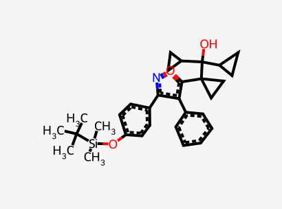 CC(C)(C)[Si](C)(C)Oc1ccc(-c2noc(C3(C(O)(C4CC4)C4CC4)CC3)c2-c2ccccc2)cc1